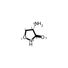 N[C@H]1CONC1=O